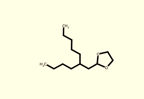 CCCCCC(CCCC)CC1OCCO1